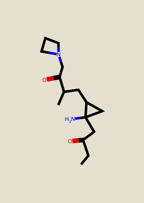 CCC(=O)CC1(N)CC1CC(C)C(=O)CN1CCC1